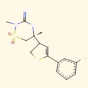 CN1C(=N)N[C@](C)(C2C=C(c3cccc(C#N)c3)SC2)CS1(=O)=O